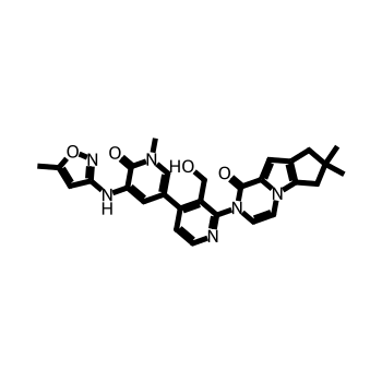 Cc1cc(Nc2cc(-c3ccnc(-n4ccn5c6c(cc5c4=O)CC(C)(C)C6)c3CO)cn(C)c2=O)no1